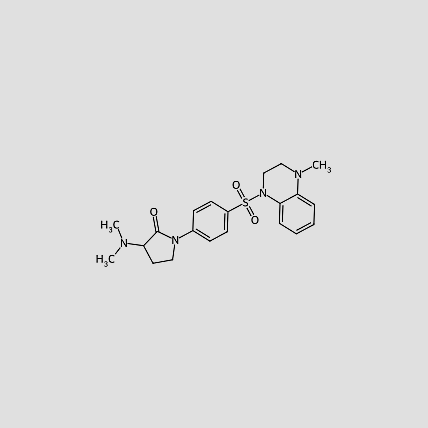 CN1CCN(S(=O)(=O)c2ccc(N3CCC(N(C)C)C3=O)cc2)c2ccccc21